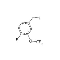 Fc1ccc(CI)cc1OC(F)(F)F